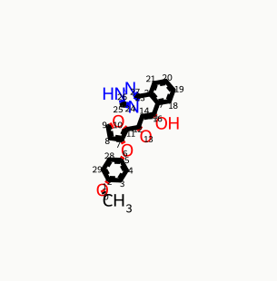 COc1ccc(Oc2ccoc2C(=O)C=C(O)c2ccccc2-c2nc[nH]n2)cc1